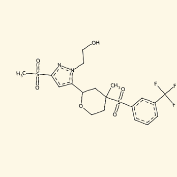 CC1(S(=O)(=O)c2cccc(C(F)(F)F)c2)CCOC(c2cc(S(C)(=O)=O)nn2CCO)C1